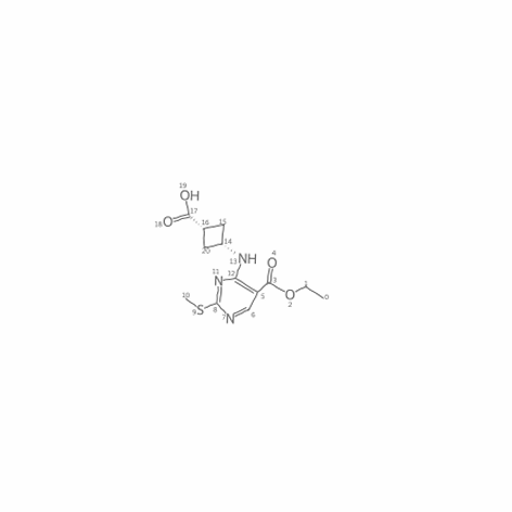 CCOC(=O)c1cnc(SC)nc1N[C@H]1C[C@@H](C(=O)O)C1